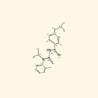 Cc1cccnc1N(C(=S)NC(=N)c1ccc(OC(C)C)cn1)C(C)C